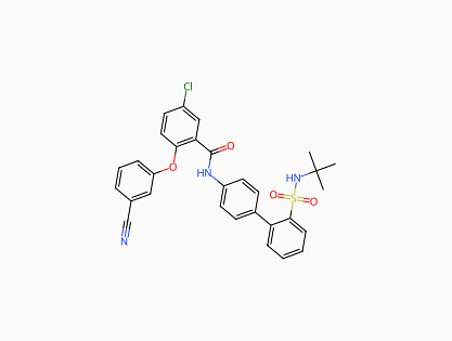 CC(C)(C)NS(=O)(=O)c1ccccc1-c1ccc(NC(=O)c2cc(Cl)ccc2Oc2cccc(C#N)c2)cc1